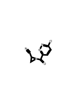 N#CC1CN1C(=O)c1ccc(Cl)nn1